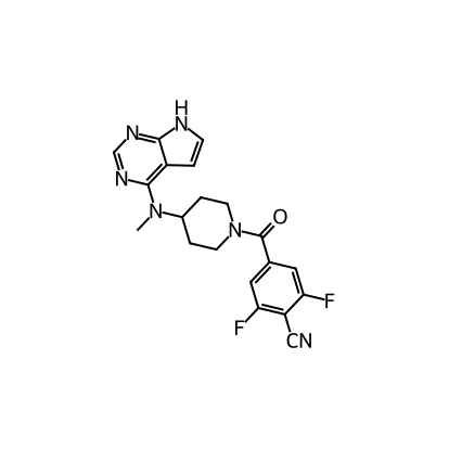 CN(c1ncnc2[nH]ccc12)C1CCN(C(=O)c2cc(F)c(C#N)c(F)c2)CC1